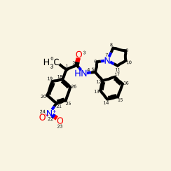 CC(C(=O)NC(CN1CCCC1)c1ccccc1)c1ccc([N+](=O)[O-])cc1